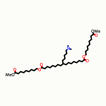 COC(=O)CCCCCCCCOC(=O)CCCCCCCC(CCCCCCCC(=O)OCCCCCCCCC(=O)OC)CCCCCN(C)C